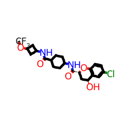 O=C(NC1CC(OC(F)(F)F)C1)C1CCC(NC(=O)[C@H]2C[C@@H](O)c3cc(Cl)ccc3O2)CC1